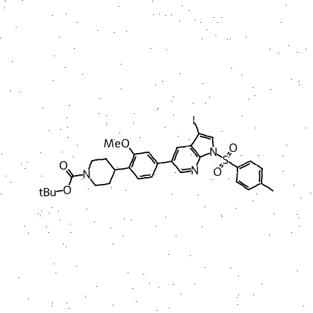 COc1cc(-c2cnc3c(c2)c(I)cn3S(=O)(=O)c2ccc(C)cc2)ccc1C1CCN(C(=O)OC(C)(C)C)CC1